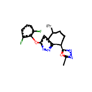 Cc1nnc(C2CCC(C(C)C)c3cc(Oc4c(F)cccc4F)nnc32)o1